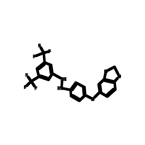 FC(F)(F)c1cc(NNc2ccc(Oc3ccc4c(c3)OCO4)cc2)cc(C(F)(F)F)c1